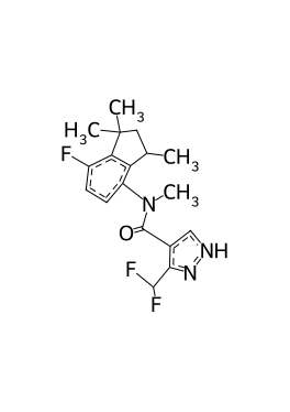 CC1CC(C)(C)c2c(F)ccc(N(C)C(=O)c3c[nH]nc3C(F)F)c21